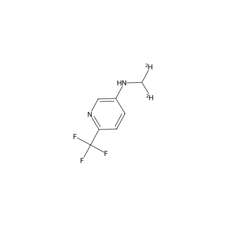 [2H]C([2H])Nc1ccc(C(F)(F)F)nc1